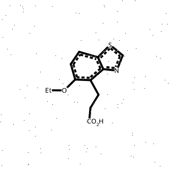 CCOc1ccc2scnc2c1CCC(=O)O